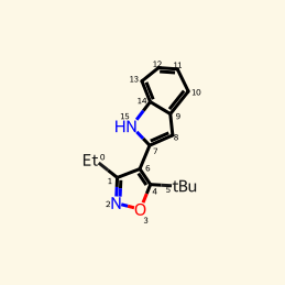 CCc1noc(C(C)(C)C)c1-c1cc2ccccc2[nH]1